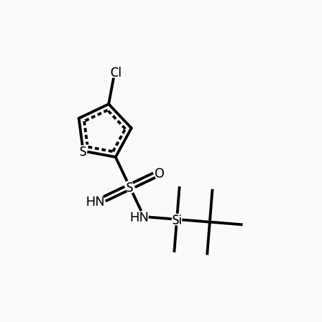 CC(C)(C)[Si](C)(C)NS(=N)(=O)c1cc(Cl)cs1